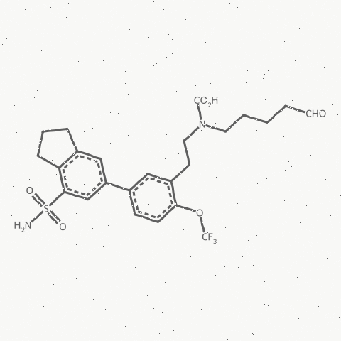 NS(=O)(=O)c1cc(-c2ccc(OC(F)(F)F)c(CCN(CCCCC=O)C(=O)O)c2)cc2c1CCC2